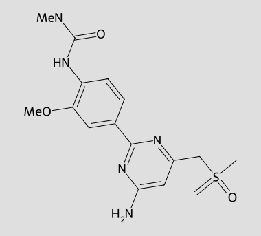 C=S(C)(=O)Cc1cc(N)nc(-c2ccc(NC(=O)NC)c(OC)c2)n1